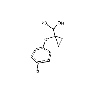 OC(O)C1(Oc2ccc(Cl)cc2)CC1